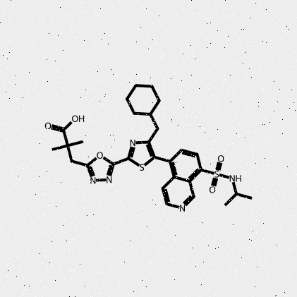 CC(C)NS(=O)(=O)c1ccc(-c2sc(-c3nnc(CC(C)(C)C(=O)O)o3)nc2CC2CCCCC2)c2ccncc12